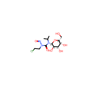 CC(C)N(C(=O)N(CCCl)N=O)[C@@H]1O[C@H](CO)[C@H](O)[C@H](O)[C@H]1O